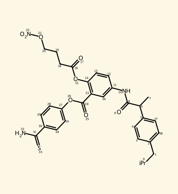 CC(C)Cc1ccc(C(C)C(=O)Nc2ccc(OC(=O)CCCO[N+](=O)[O-])c(C(=O)Oc3ccc(C(N)=S)cc3)c2)cc1